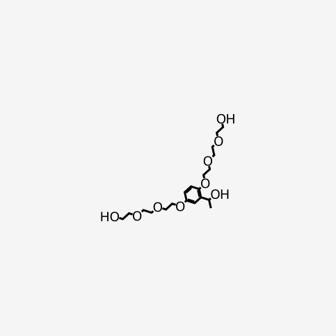 CC(O)c1cc(OCCOCCOCCO)ccc1OCCOCCOCCO